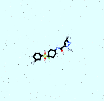 Cn1nc(C(F)(F)F)cc1C(=O)NC1CCC(F)(S(=O)(=O)c2cccc(C(F)(F)F)c2)CC1